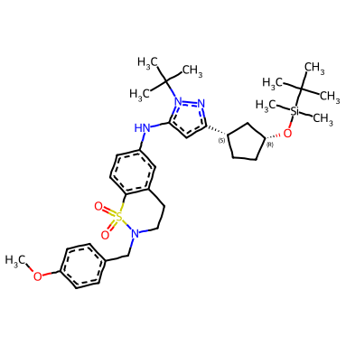 COc1ccc(CN2CCc3cc(Nc4cc([C@H]5CC[C@@H](O[Si](C)(C)C(C)(C)C)C5)nn4C(C)(C)C)ccc3S2(=O)=O)cc1